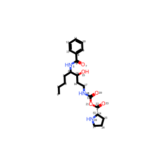 CCCCC(NC(=O)c1ccccc1)C(O)CCNC(=O)OC(=O)[C@@H]1CCCN1